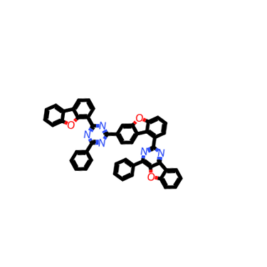 c1ccc(-c2nc(-c3ccc4c(c3)oc3cccc(-c5nc(-c6ccccc6)c6oc7ccccc7c6n5)c34)nc(-c3cccc4c3oc3ccccc34)n2)cc1